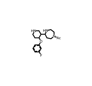 CC(=O)N1CCNC(C2CNCCC2Oc2cccc(F)c2)CC1